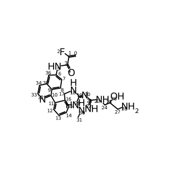 C=C(F)C(=O)Nc1ccc2c(-c3ccccc3CN/C(=N/C(=N)NCC(O)CN)NNC)nccc2c1